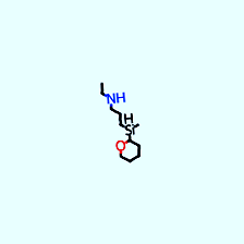 CCNCCC[SiH](C)C1CCCCO1